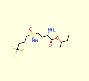 CCC(C)OC(=O)[C@@H](N)CCS(=N)(=O)CCCC(F)(F)F